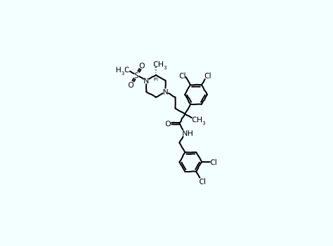 C[C@@H]1CN(CCC(C)(C(=O)NCc2ccc(Cl)c(Cl)c2)c2ccc(Cl)c(Cl)c2)CCN1S(C)(=O)=O